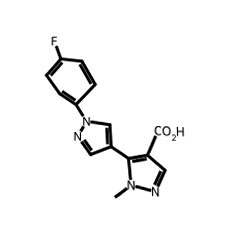 Cn1ncc(C(=O)O)c1-c1cnn(-c2ccc(F)cc2)c1